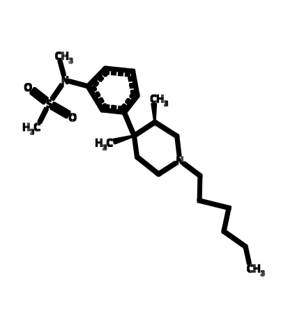 CCCCCCN1CC[C@](C)(c2cccc(N(C)S(C)(=O)=O)c2)[C@@H](C)C1